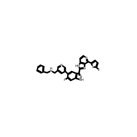 Fc1ccc(-c2nccc3[nH]c(-c4n[nH]c5cc(F)c(-c6cncc(CNCc7ccccc7)c6)cc45)nc23)s1